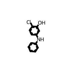 Oc1cc(Nc2ccccc2)ccc1Cl